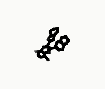 O=c1cc[nH]c2nc(-c3cc4ccccc4o3)c(-c3ccc4ncccc4c3)nc12